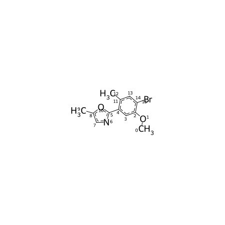 COc1cc(-c2ncc(C)o2)c(C)cc1Br